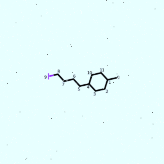 CC1CCC(CCCCI)CC1